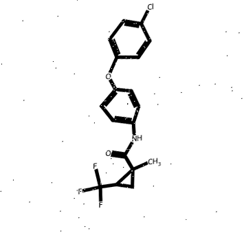 CC1(C(=O)Nc2ccc(Oc3ccc(Cl)cc3)cc2)CC1C(F)(F)F